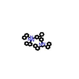 c1ccc2c(-c3cc(-c4cccc5ccccc45)nc(-c4ccc(C5(c6ccc(-c7nc(-c8cccc9ccccc89)nc(-c8cccc9ccccc89)n7)cc6)CCCCC5)cc4)n3)cccc2c1